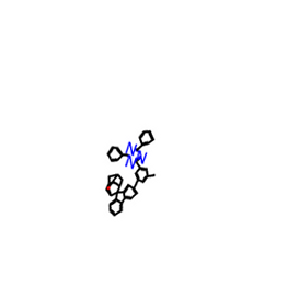 Cc1cc(-c2ccc3c(c2)C2(c4ccccc4-3)C3CC4CC(C3)CC2C4)cc(-c2nc(-c3ccccc3)nc(-c3ccccc3)n2)c1